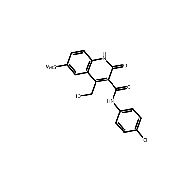 CSc1ccc2[nH]c(=O)c(C(=O)Nc3ccc(Cl)cc3)c(CO)c2c1